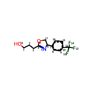 OCCCC1=NC(c2ccc(C(F)(F)F)cc2)CO1